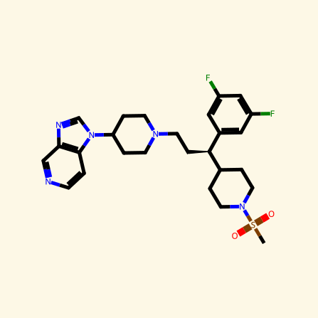 CS(=O)(=O)N1CCC([C@@H](CCN2CCC(n3cnc4cnccc43)CC2)c2cc(F)cc(F)c2)CC1